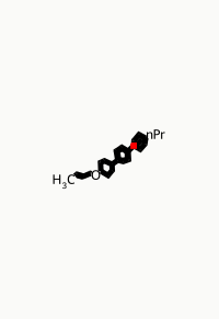 C/C=C/COC1CCC(c2ccc(C34CCC(CCC)(CC3)CC4)cc2)CC1